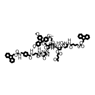 [C-]#[N+]CCO[PH](O)(OC[C@H]1OC(N2C=CC(NC(=O)CCCN(C)C(=O)OCC3c4ccccc4-c4ccccc43)=NC2O)CC1OC(=O)CCC(C)=O)OC1C[C@H](n2cnc3c(=O)[nH]c(NC(=O)CCNC(=O)c4ccc(CNC(=O)OCC5c6ccccc6-c6ccccc65)cc4)nc32)OC1COC(c1ccccc1)(c1ccc(OC)cc1)c1ccc(OC)cc1